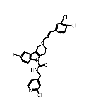 O=C(NCc1ccnc(Cl)c1)n1c2c(c3cc(F)ccc31)CN(C/C=C/c1ccc(Cl)c(Cl)c1)CC2